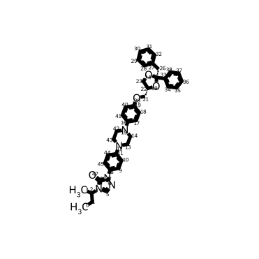 CCC(C)n1cnn(-c2ccc(N3CCN(c4ccc(OC[C@@H]5CO[C@@](Cc6ccccc6)(c6ccccc6)O5)cc4)CC3)cc2)c1=O